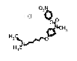 C=CCN(C)CCCCCCOc1ccc(N(C)C(=O)Oc2ccc([N+](=O)[O-])cc2)cc1.Cl